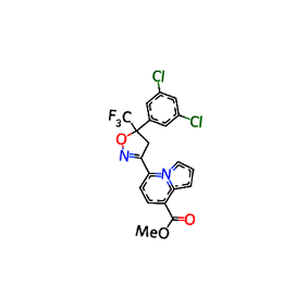 COC(=O)c1ccc(C2=NOC(c3cc(Cl)cc(Cl)c3)(C(F)(F)F)C2)n2cccc12